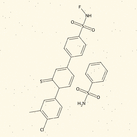 Cc1cc(C2C=CC(c3ccc(S(=O)(=O)NF)cc3)=CC2=S)ccc1Cl.NS(=O)(=O)c1ccccc1